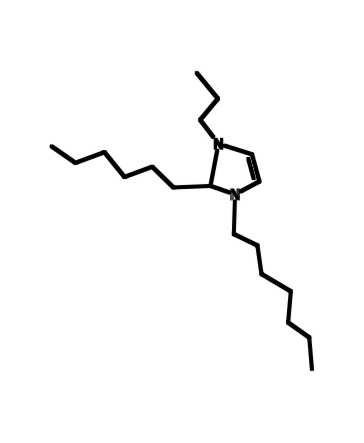 CCCCCCCN1C=CN(CCC)C1CCCCCC